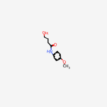 COc1ccc(NC(=O)CCCO)cc1